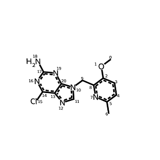 COc1ccc(C)nc1Cn1cnc2c(Cl)nc(N)nc21